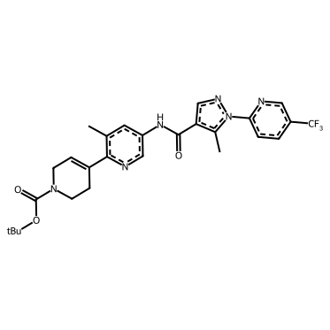 Cc1cc(NC(=O)c2cnn(-c3ccc(C(F)(F)F)cn3)c2C)cnc1C1=CCN(C(=O)OC(C)(C)C)CC1